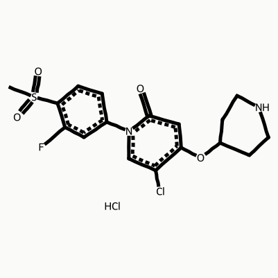 CS(=O)(=O)c1ccc(-n2cc(Cl)c(OC3CCNCC3)cc2=O)cc1F.Cl